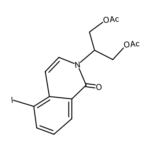 CC(=O)OCC(COC(C)=O)n1ccc2c(I)cccc2c1=O